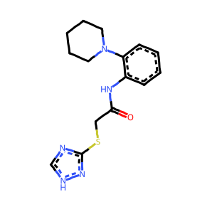 O=C(CSc1nc[nH]n1)Nc1ccccc1N1CCCCC1